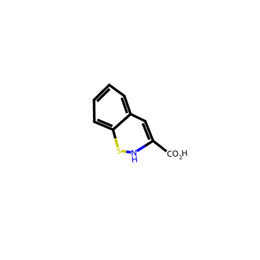 O=C(O)C1=Cc2ccccc2SN1